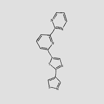 c1cnc(-c2cccc(-c3cnc(-c4cnsc4)s3)n2)nc1